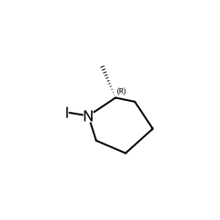 C[C@@H]1CCCCN1I